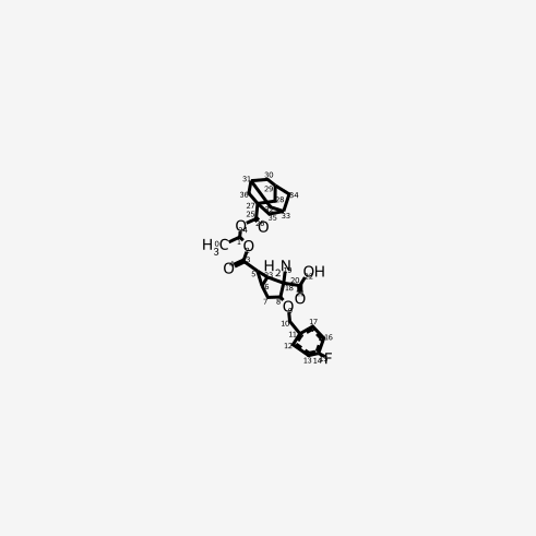 CC(OC(=O)C1C2CC(OCc3ccc(F)cc3)C(N)(C(=O)O)C21)OC(=O)C12CC3CC(CC(C3)C1)C2